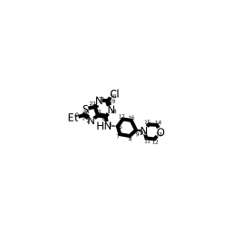 CCc1nc2c(N[C@H]3CC[C@H](N4CCOCC4)CC3)nc(Cl)nc2s1